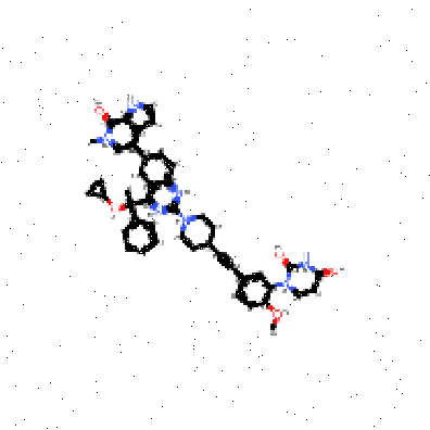 [CH2]C(OC1CC1)(c1ccccc1)c1nc(N2CCC(C#Cc3ccc(OC)c(N4CCC(=O)NC4=O)c3)CC2)nc2ccc(-c3cn(C)c(=O)c4[nH]ccc34)cc12